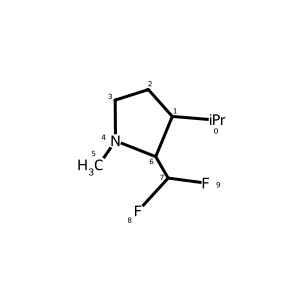 CC(C)C1CCN(C)C1C(F)F